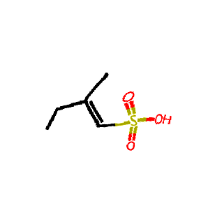 CCC(C)=CS(=O)(=O)O